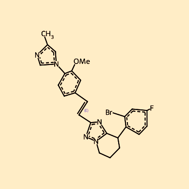 COc1cc(/C=C/c2nc3n(n2)CCCC3c2ccc(F)cc2Br)ccc1-n1cnc(C)c1